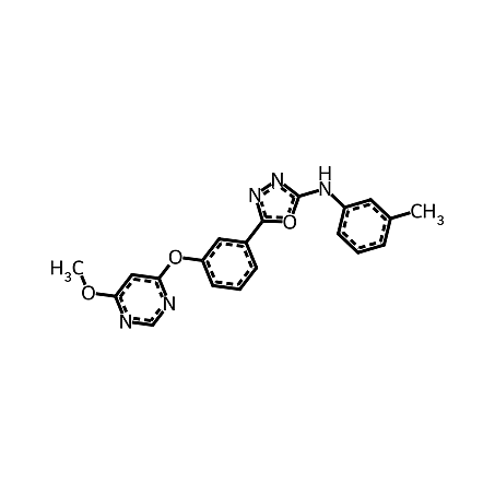 COc1cc(Oc2cccc(-c3nnc(Nc4cccc(C)c4)o3)c2)ncn1